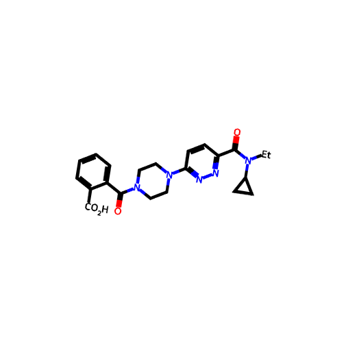 CCN(C(=O)c1ccc(N2CCN(C(=O)c3ccccc3C(=O)O)CC2)nn1)C1CC1